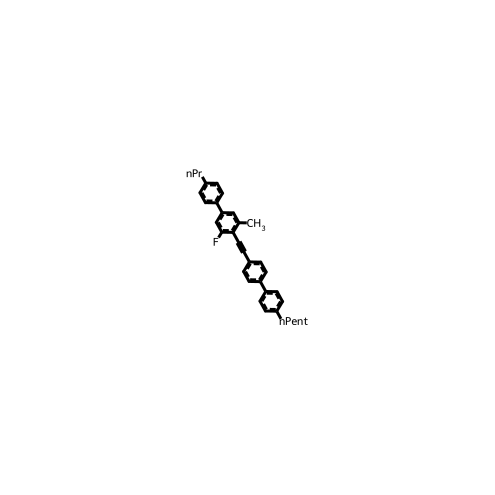 CCCCCc1ccc(-c2ccc(C#Cc3c(C)cc(-c4ccc(CCC)cc4)cc3F)cc2)cc1